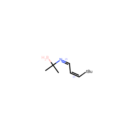 BC(C)(C)/N=C\C=C/C(C)(C)C